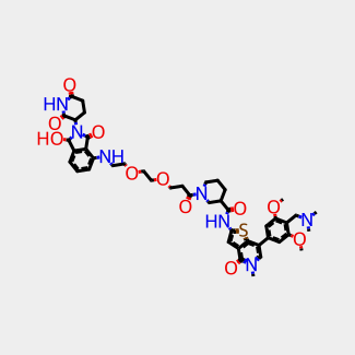 COc1cc(-c2cn(C)c(=O)c3cc(NC(=O)C4CCCN(C(=O)CCOCCOCCNc5cccc6c5C(=O)N(C5CCC(=O)NC5=O)C6O)C4)sc23)cc(OC)c1CN(C)C